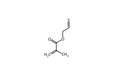 C=C(C)C(=O)OCC=S